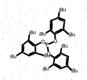 CCC(C)c1cc(C(C)CC)c(OP(Oc2c(C(C)CC)cc(C(C)CC)cc2C(C)CC)Oc2c(C(C)CC)cc(C(C)CC)cc2C(C)CC)c(C(C)CC)c1